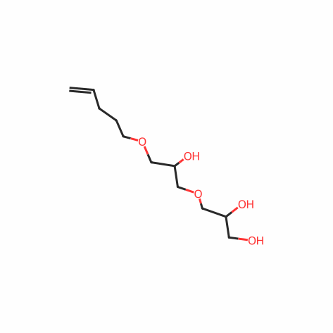 C=CCCCOCC(O)COCC(O)CO